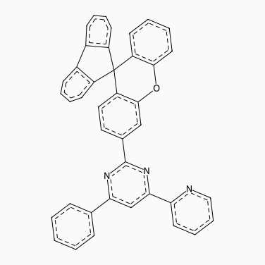 c1ccc(-c2cc(-c3ccccn3)nc(-c3ccc4c(c3)Oc3ccccc3C43c4ccccc4-c4ccccc43)n2)cc1